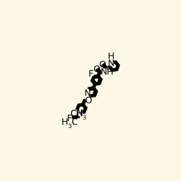 CC(C)(F)CN1CCC(COc2ccc(-c3ccc(C(=O)NC(=O)[C@@H]4CCCCN4)c(F)c3)cn2)CC1